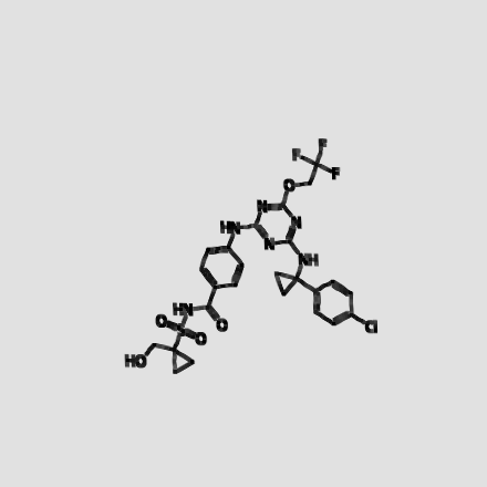 O=C(NS(=O)(=O)C1(CO)CC1)c1ccc(Nc2nc(NC3(c4ccc(Cl)cc4)CC3)nc(OCC(F)(F)F)n2)cc1